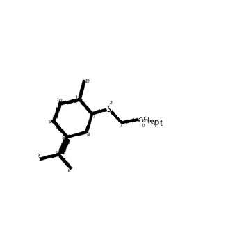 CCCCCCCCSC1CC(=C(C)C)CCC1C